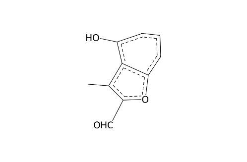 Cc1c(C=O)oc2cccc(O)c12